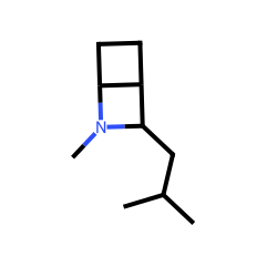 CC(C)CC1C2CCC2N1C